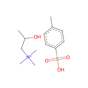 CC(O)C[N+](C)(C)C.Cc1ccc(S(=O)(=O)O)cc1